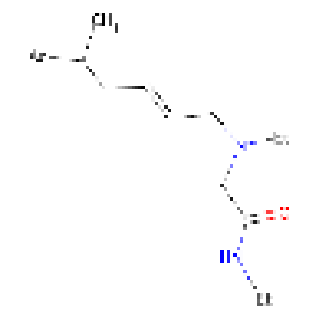 CCNC(=O)CN(CC)C/C=C/CC(C)C(C)=O